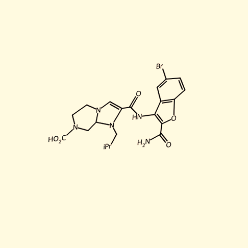 CC(C)CN1C(C(=O)Nc2c(C(N)=O)oc3ccc(Br)cc23)=CN2CCN(C(=O)O)CC21